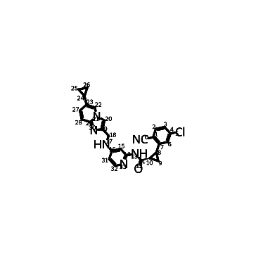 N#Cc1ccc(Cl)cc1C1C[C@H]1C(=O)Nc1cc(NCc2cn3cc(C4CC4)ccc3n2)ccn1